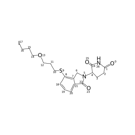 O=C1CCC(N2Cc3c(SCCCOCCCI)cccc3C2=O)C(=O)N1